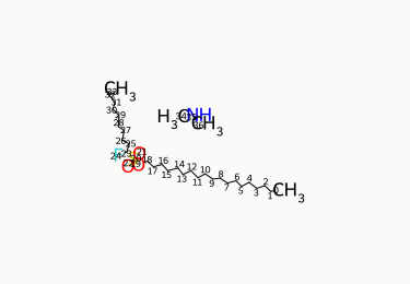 CCCCCCCCCCCCCCCCCCCOS(=O)(=O)C(F)CCCCCCCCC.CNC